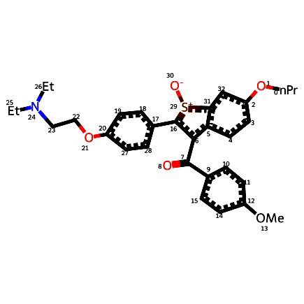 CCCOc1ccc2c(C(=O)c3ccc(OC)cc3)c(-c3ccc(OCCN(CC)CC)cc3)[s+]([O-])c2c1